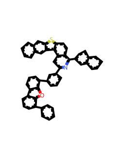 c1ccc(-c2cccc3c2oc2c(-c4cccc(-c5cc6c(ccc7sc8cc9ccccc9cc8c76)c(-c6ccc7ccccc7c6)n5)c4)cccc23)cc1